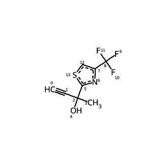 C#CC(C)(O)c1nc(C(F)(F)F)cs1